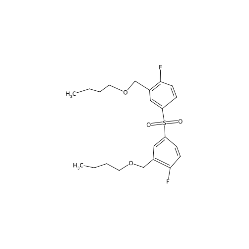 CCCCOCc1cc(S(=O)(=O)c2ccc(F)c(COCCCC)c2)ccc1F